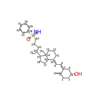 C=C1CCC(O)C/C1=C/C=C1\CCCC2(C)C1CCC2C(C)CCCS(=N)(=O)c1ccccc1